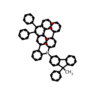 CC1(c2ccccc2)c2ccccc2-c2cc(N(c3ccc(-c4ccccc4)cc3)c3ccccc3-c3ccc4c(c3)c(-c3ccccc3)c(-c3ccccc3)c3ccccc34)ccc21